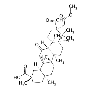 COC(=O)C[C@@]1(C(=O)O)CC[C@@]2(C)[C@H](CC[C@]3(C)[C@@H]2C(=O)C=C2[C@@H]4C[C@@](C)(C(=O)O)CC[C@]4(C)CC[C@]23C)C1(C)C